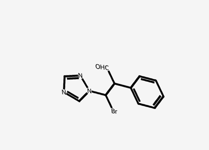 O=CC(c1ccccc1)C(Br)n1cncn1